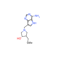 CSCC1CN(Cc2c[nH]c3c(N)ncnc23)C[C@H]1O